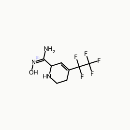 N/C(=N/O)C1C=C(C(F)(F)C(F)(F)F)CCN1